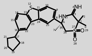 CC1(C)C(=N)N[C@](C)(c2ccc3sc4ccc(C5CCCC5)cc4c3c2)CS1(=O)=O